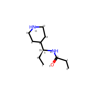 CCC(=O)N[C@@H](CC)C1CCNCC1